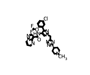 CN1CCC(n2nnc(Cn3cc(NC(=O)c4cnn5cccnc45)c(-c4cc(Cl)ccc4OC(F)F)n3)n2)CC1